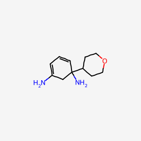 NC1=CC=CC(N)(C2CCOCC2)C1